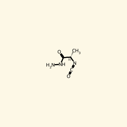 C[C@H](N=C=O)C(=O)NN